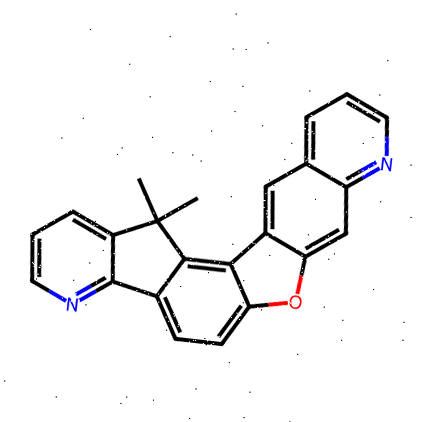 CC1(C)c2cccnc2-c2ccc3oc4cc5ncccc5cc4c3c21